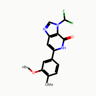 CCCCOc1cc(-c2cc3ncn(C(F)F)c3c(=O)[nH]2)ccc1OC